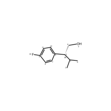 CC(C)[C@@H](CO)c1ccc(F)cc1